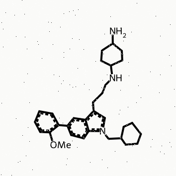 COc1ccccc1-c1ccc2c(c1)c(CCCNC1CCC(N)CC1)cn2CC1CCCCC1